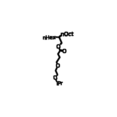 CCCCCCCCC(CCCCCC)COC(=O)CCCOCCOC(C)C